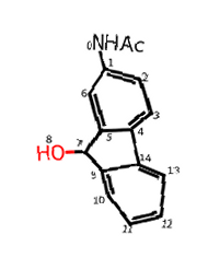 CC(=O)Nc1ccc2c(c1)C(O)c1ccccc1-2